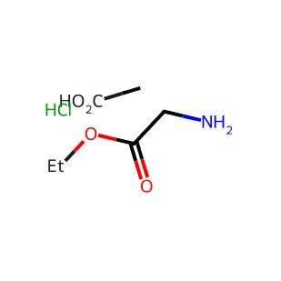 CC(=O)O.CCOC(=O)CN.Cl